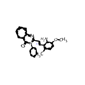 COc1ccc(C)c(/C=C/c2nc3ccccc3c(=O)n2-c2ccccc2)c1N